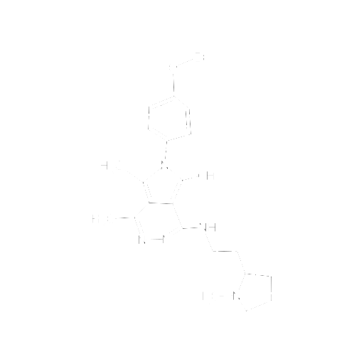 CCOc1ccc(-n2c(C)c3c(C)nnc(NCCC4CCCN4C)c3c2C)cc1